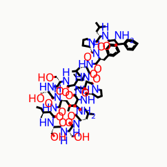 CC[C@H](C)[C@H](NC(=O)[C@H](CC(C)C)NC(=O)[C@H](CO)NC(=O)[C@H](CO)NC(=O)[C@@H](NC(=O)[C@@H](NC(=O)[C@@H]1CCCN1C(=O)[C@@H](NC(=O)[C@H](CC(C)C)NC(=O)[C@H](Cc1ccccc1)NC(=O)[C@@H]1CCCN1C(=O)[C@H](CC(C)C)NC(=O)[C@@H](N)Cc1ccccc1)[C@@H](C)CC)C(C)C)[C@@H](C)CC)C(=O)N[C@@H](CO)C(=O)N[C@@H](CO)C(=O)N[C@@H](CC(C)C)C(N)=O